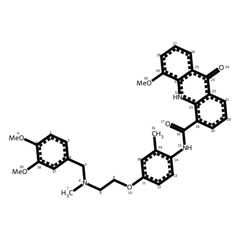 COc1ccc(CN(C)CCOc2ccc(NC(=O)c3cccc4c(=O)c5cccc(OC)c5[nH]c34)c(C)c2)cc1OC